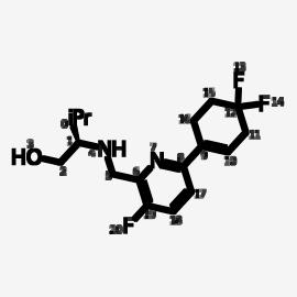 CC(C)[C@H](CO)NCc1nc(C2=CCC(F)(F)CC2)ccc1F